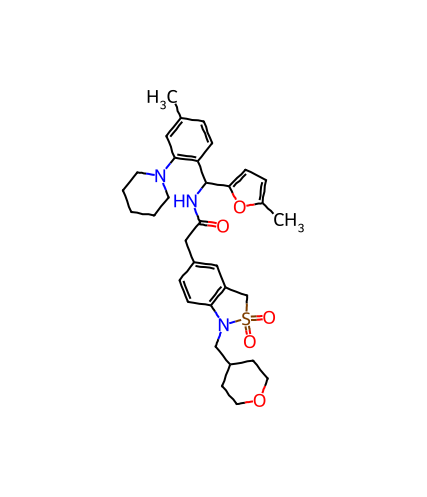 Cc1ccc(C(NC(=O)Cc2ccc3c(c2)CS(=O)(=O)N3CC2CCOCC2)c2ccc(C)o2)c(N2CCCCC2)c1